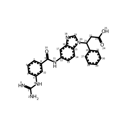 N=C(N)Nc1cccc(C(=O)Nc2ccc3c(c2)ncn3C(CC(=O)O)c2ccccc2)c1